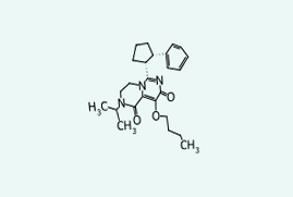 CCCCOc1c2n(c([C@@H]3CCC[C@@H]3c3ccccc3)nc1=O)CCN(C(C)C)C2=O